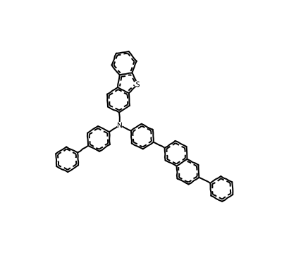 c1ccc(-c2ccc(N(c3ccc(-c4ccc5cc(-c6ccccc6)ccc5c4)cc3)c3ccc4c(c3)sc3ccccc34)cc2)cc1